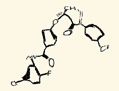 C[C@H](Oc1ccc(C(=O)Nc2cc(Cl)ccc2F)cc1)C(=O)Nc1ccc(Cl)cc1